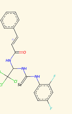 O=C(/C=C/c1ccccc1)NC(NC(=[Se])Nc1ccc(F)cc1F)C(Cl)(Cl)Cl